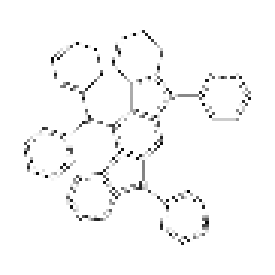 C1=CCCC(B(c2ccccc2)c2c3c4c(n(-c5ccccc5)c3cc3c2c2ccccc2n3-c2ccccc2)CCC=C4)=C1